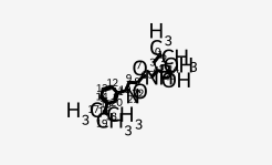 CC(C)C[C@H](NC(=O)C1CC(c2cccc(C(C)(C)C)c2)=NO1)B(O)O